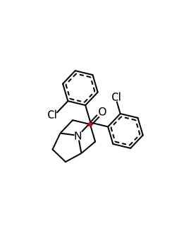 O=C1CC2CCC(C1)N2C(c1ccccc1Cl)c1ccccc1Cl